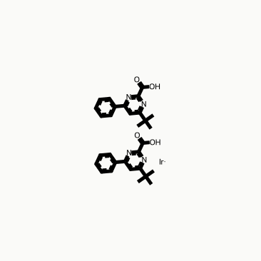 CC(C)(C)c1cc(-c2ccccc2)nc(C(=O)O)n1.CC(C)(C)c1cc(-c2ccccc2)nc(C(=O)O)n1.[Ir]